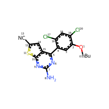 CCCCOc1cc(-c2nc(N)nc3sc(C#N)cc23)c(Cl)cc1Cl